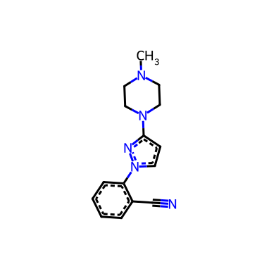 CN1CCN(c2ccn(-c3ccccc3C#N)n2)CC1